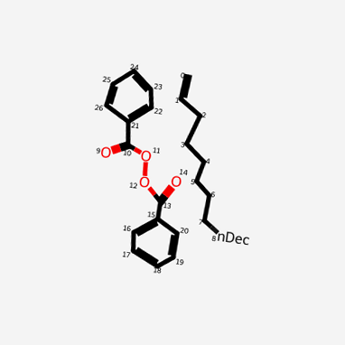 C=CCCCCCCCCCCCCCCCC.O=C(OOC(=O)c1ccccc1)c1ccccc1